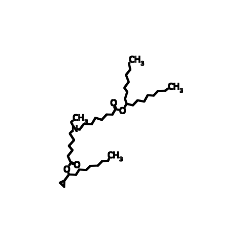 CCCCCCCCC(CCCCCCCC)OC(=O)CCCCCCCN(CC)CCCCCC(=O)OC(CCCCCCCC)C1CC1